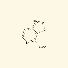 COc1nccc2[nH]cnc12